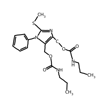 CCCNC(=O)OCc1nc(SC)n(-c2ccccc2)c1COC(=O)NCCC